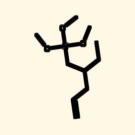 C=CCC(CC)C[Si](OC)(OC)OC